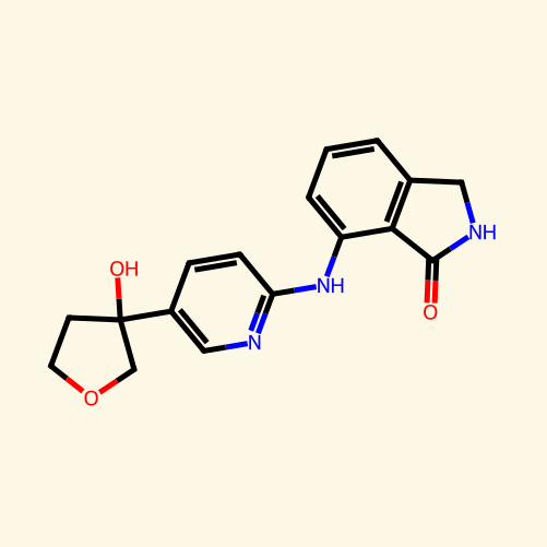 O=C1NCc2cccc(Nc3ccc(C4(O)CCOC4)cn3)c21